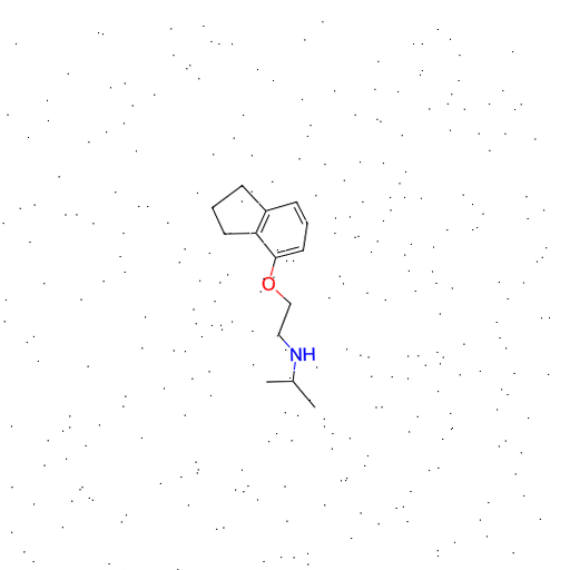 CC(C)NCCOc1cccc2c1CCC2